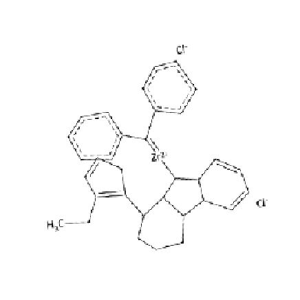 CCC1=C(C2CCCC3C4C=CC=CC4[CH]([Zr+2]=[C](c4ccccc4)c4ccccc4)C23)CC=C1.[Cl-].[Cl-]